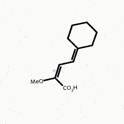 CO/C(=C/C=C1CCCCC1)C(=O)O